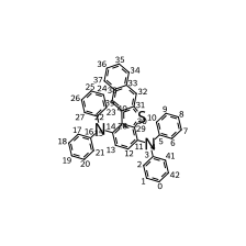 c1ccc(N(c2ccccc2)c2ccc(N(c3ccccc3)c3ccccc3)c3c2sc2cc4ccccc4cc23)cc1